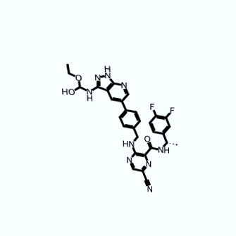 CCOC(O)Nc1n[nH]c2ncc(-c3ccc(CNc4ncc(C#N)nc4C(=O)N[C@@H](C)c4ccc(F)c(F)c4)cc3)cc12